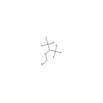 FC(F)(F)C(OCCl)C(F)(F)F